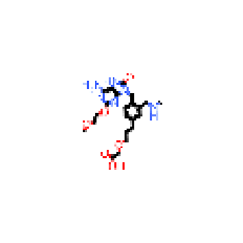 CNCc1cc(CCCOCC(=O)O)ccc1Cn1c(=O)[nH]c2c(N)nc(OCCOC)nc21